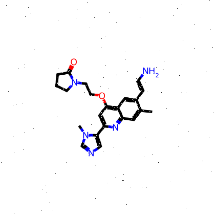 Cc1cc2nc(-c3cncn3C)cc(OCCN3CCCC3=O)c2cc1/C=C/N